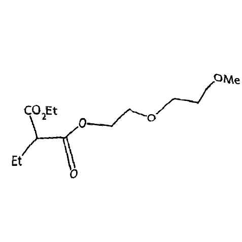 CCOC(=O)C(CC)C(=O)OCCOCCOC